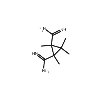 CC1(C)C(C)(C(=N)N)C1(C)C(=N)N